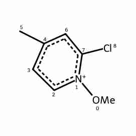 CO[n+]1ccc(C)cc1Cl